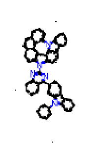 c1ccc(-n2c3ccccc3c3ccc(-c4nc(-n5c6ccc7ccc8cccc9c8c7c6c6c5ccc5c7ccccc7n9c56)nc5ccccc45)cc32)cc1